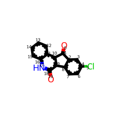 O=C1c2cc(Cl)ccc2-c2c1c1ccccc1[nH]c2=O